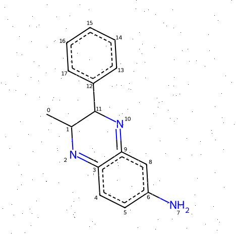 CC1N=c2ccc(N)cc2=NC1c1ccccc1